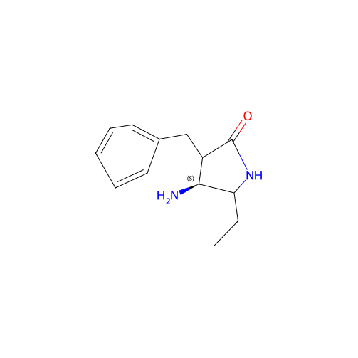 CCC1NC(=O)C(Cc2ccccc2)[C@@H]1N